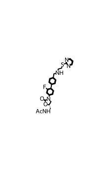 CC(=O)NC[C@H]1CN(c2ccc(-c3ccc(CNCCSc4ncccn4)cc3)c(F)c2)C(=O)O1